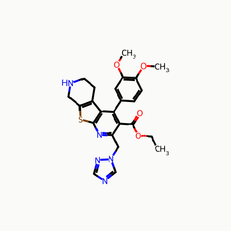 CCOC(=O)c1c(Cn2cncn2)nc2sc3c(c2c1-c1ccc(OC)c(OC)c1)CCNC3